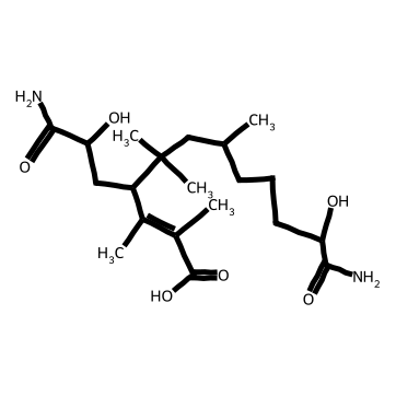 CC(C(=O)O)=C(C)C(CC(O)C(N)=O)C(C)(C)CC(C)CCCC(O)C(N)=O